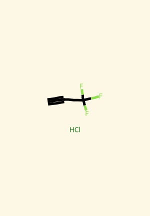 C#CC(F)(F)F.Cl